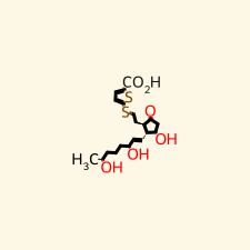 C[C@@H](O)CCC[C@H](O)/C=C/[C@H]1[C@H](O)CC(=O)[C@@H]1CCSc1ccc(C(=O)O)s1